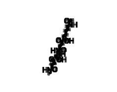 CNC(=O)CCC(=O)N(O)CNNC(=O)CCC(=O)N(O)CCCCCNC(C)=O